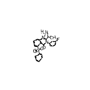 CC(N)c1nc2cccc(S(=O)(=O)c3ccccc3)c2c(=O)n1-c1cccc(F)c1